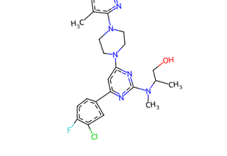 Cc1cccnc1N1CCN(c2cc(-c3ccc(F)c(Cl)c3)nc(N(C)C(C)CO)n2)CC1